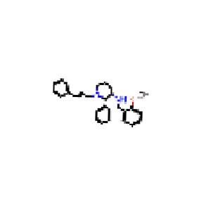 COc1ccccc1CN[C@@H]1CCCN(C/C=C/c2ccccc2)[C@@H]1c1ccccc1